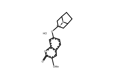 COc1cc2ccc(OC3CC4CCC(C3)N4C)cc2oc1=O.Cl